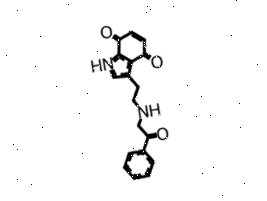 O=C(CNCCc1c[nH]c2c1C(=O)C=CC2=O)c1ccccc1